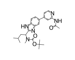 CC(=O)Nc1cc(-c2ccc3[nH]c(C(CC(C)C)N(C)C(=O)OC(C)(C)C)nc3c2)ccn1